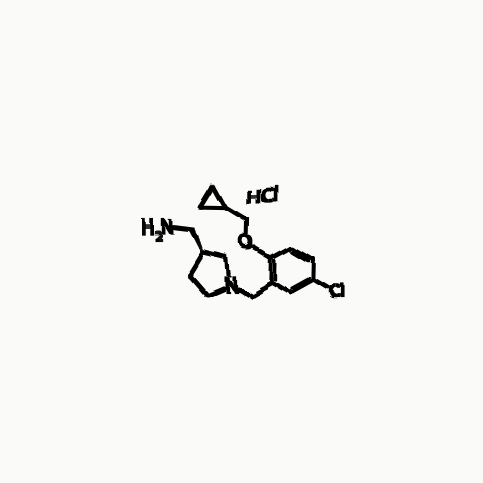 Cl.NC[C@@H]1CCN(Cc2cc(Cl)ccc2OCC2CC2)C1